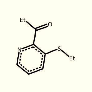 CCSc1cccnc1C(=O)CC